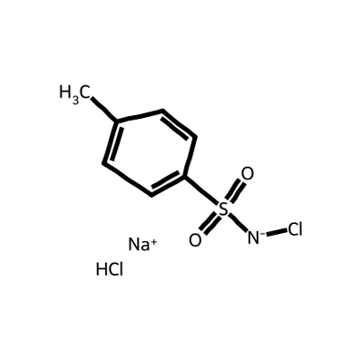 Cc1ccc(S(=O)(=O)[N-]Cl)cc1.Cl.[Na+]